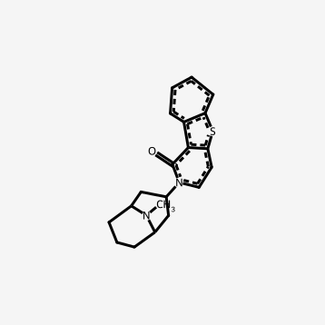 CN1C2CCCC1CC(n1ccc3sc4ccccc4c3c1=O)C2